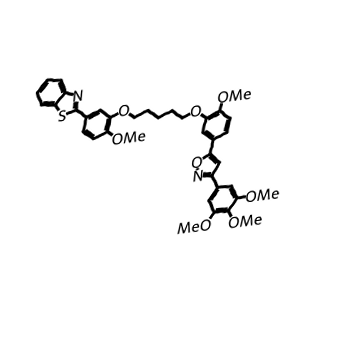 COc1ccc(-c2cc(-c3cc(OC)c(OC)c(OC)c3)no2)cc1OCCCCCOc1cc(-c2nc3ccccc3s2)ccc1OC